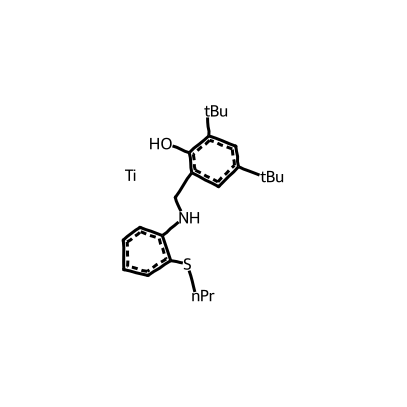 CCCSc1ccccc1NCc1cc(C(C)(C)C)cc(C(C)(C)C)c1O.[Ti]